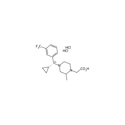 CC1CN([C@@H](c2cccc(C(F)(F)F)c2)C2CC2)CCN1CC(=O)O.Cl.Cl